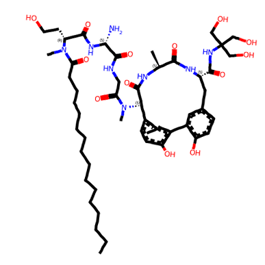 CCCCCCCCCCCCCCCC(=O)N(C)[C@H](CCO)C(=O)N[C@H](N)C(=O)NCC(=O)N(C)[C@@H]1C(=O)N[C@@H](C)C(=O)N[C@H](C(=O)NC(CO)(CO)CO)Cc2ccc(O)c(c2)-c2c(O)ccc1c2C